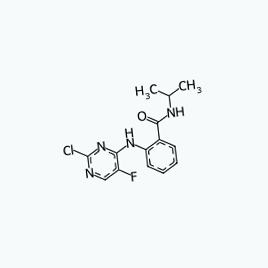 CC(C)NC(=O)c1ccccc1Nc1nc(Cl)ncc1F